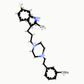 COc1cccc(CCN2CCN(CCCc3c(C)[nH]c4cc(F)ccc34)CC2)c1